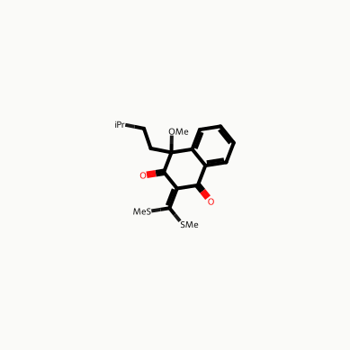 COC1(CCC(C)C)C(=O)C(=C(SC)SC)C(=O)c2ccccc21